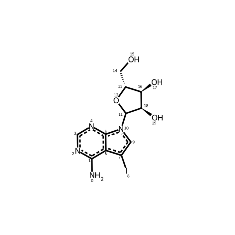 Nc1ncnc2c1c(I)cn2C1O[C@H](CO)[C@@H](O)[C@H]1O